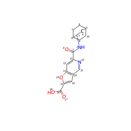 O=C(NC1CC2CCC1CC2)c1cc2oc(C(=O)O)cc2cn1